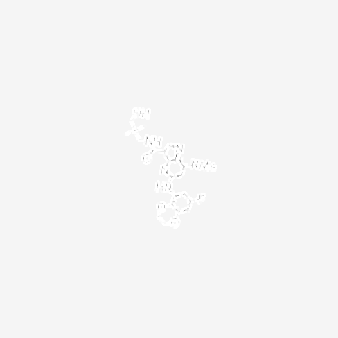 CNc1cc(Nc2cc(F)cc3c2OCCO3)nc2c(C(=O)NCC(C)(C)CO)cnn12